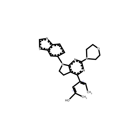 C/C=C(\C=C(/C)O)c1nc(N2CCOCC2)nc2c1CCN2c1ccc2ncsc2c1